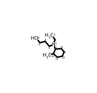 CCN(CCCO)C1CCCCC1C